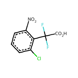 O=C(O)C(F)(F)c1c(Cl)cccc1[N+](=O)[O-]